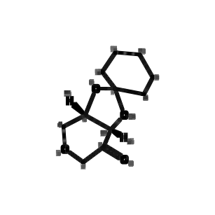 O=C1COC[C@@H]2OC3(CCCCC3)O[C@H]12